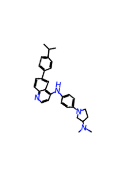 CC(C)c1ccc(-c2ccc3nccc(Nc4ccc(N5CCC(N(C)C)C5)cc4)c3c2)cc1